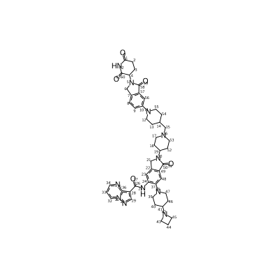 O=C1CCC(N2Cc3ccc(N4CCC(CN5CCC(N6Cc7cc(NC(=O)c8cnn9cccnc89)c(N8CCC(N9CCC9)CC8)cc7C6=O)CC5)CC4)cc3C2=O)C(=O)N1